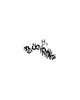 [2H]C([2H])(NC(=O)c1cc(C)c(N2CCc3ncc(N4CCCn5nccc54)cc3C2)nn1)c1cscn1